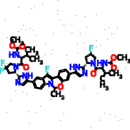 COC(=O)N[C@H](C(=O)N1C[C@H](F)C[C@H]1c1ncc(-c2ccc3c(c2)OC(C)n2c-3c(F)c3cc(-c4cnc([C@@H]5CC(F)(F)CN5C(=O)[C@@H](NC(=O)OC)C(C)C)[nH]4)ccc32)[nH]1)C(C)C